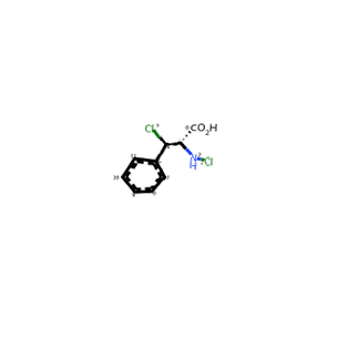 O=C(O)[C@H](NCl)C(Cl)c1ccccc1